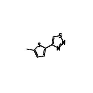 Cc1ccc(-c2csnn2)s1